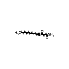 CCCCCCCCCCCCNC(=O)CCC(N)=O